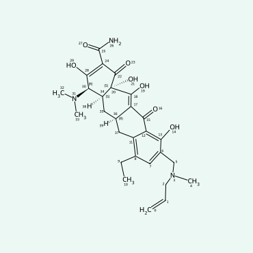 C=CCN(C)Cc1cc(CC)c2c(c1O)C(=O)C1=C(O)[C@]3(O)C(=O)C(C(N)=O)=C(O)[C@H](N(C)C)[C@@H]3C[C@@H]1C2